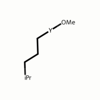 C[O][Y][CH2]CCC(C)C